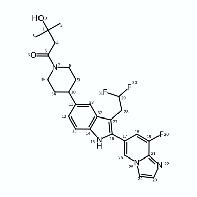 CC(C)(O)CC(=O)N1CCC(c2ccc3[nH]c(-c4cc(F)c5nccn5c4)c(CC(F)F)c3c2)CC1